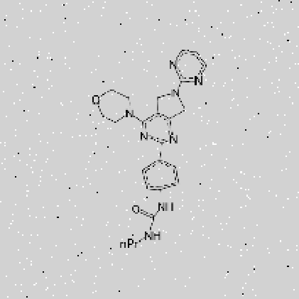 CCCNC(=O)Nc1ccc(-c2nc3c(c(N4CCOCC4)n2)CN(c2ncccn2)C3)cc1